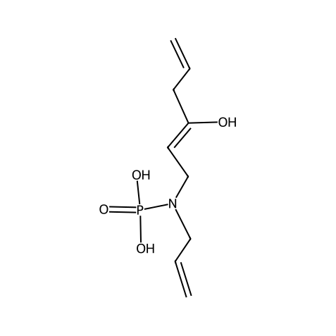 C=CCC(O)=CCN(CC=C)P(=O)(O)O